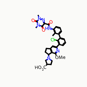 COc1nc(-c2cccc(-c3cccc(NC(=O)c4nn(C)c(=O)n(C)c4=O)c3C)c2Cl)cc2c1C(N1CCC(C(=O)O)C1)CC2